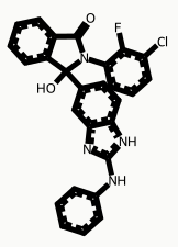 O=C1c2ccccc2C(O)(c2ccc3[nH]c(Nc4ccccc4)nc3c2)N1c1cccc(Cl)c1F